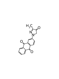 CC1=NN(c2ccc3c(c2)C(=O)c2ccccc2C3=O)CC1=O